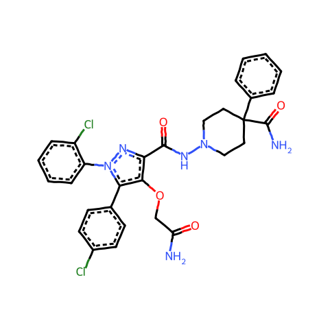 NC(=O)COc1c(C(=O)NN2CCC(C(N)=O)(c3ccccc3)CC2)nn(-c2ccccc2Cl)c1-c1ccc(Cl)cc1